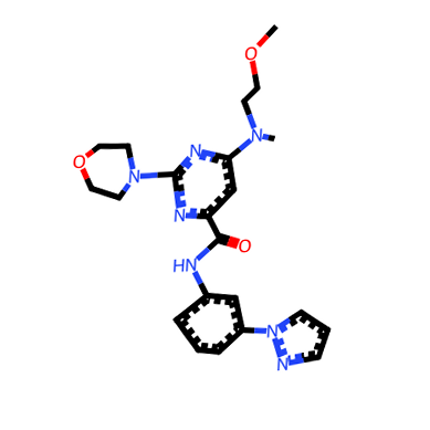 COCCN(C)c1cc(C(=O)Nc2cccc(-n3cccn3)c2)nc(N2CCOCC2)n1